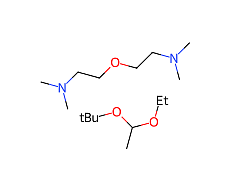 CCOC(C)OC(C)(C)C.CN(C)CCOCCN(C)C